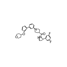 O=C(C1CCN(c2cccc(-c3cccc(OC4CCOCC4)c3)c2)CC1)N1N=CCC1c1cc(F)cc(F)c1